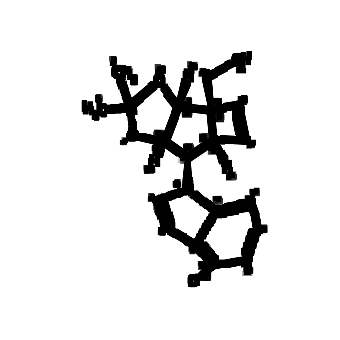 CC1(C)O[C@H]2[C@H](n3ccc4c(Cl)ncnc43)[C@H]3C=C[C@@]3(CO)[C@H]2O1